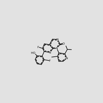 Cc1ccnc(C(C)C)c1-n1c(=O)ncc2cc(F)c(-c3c(O)cccc3F)nc21